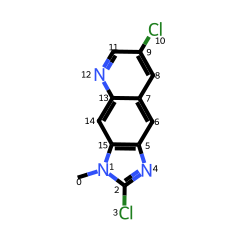 Cn1c(Cl)nc2cc3cc(Cl)cnc3cc21